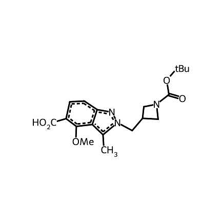 COc1c(C(=O)O)ccc2nn(CC3CN(C(=O)OC(C)(C)C)C3)c(C)c12